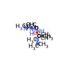 Cc1ccc(NC(=O)c2cc(N(C)CCN(C)C)cc(C(C)(C)C#N)c2)cc1-n1cc(-c2cnn(C)c2C)[nH]1